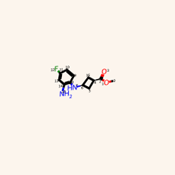 COC(=O)[C@H]1C[C@@H](Nc2ccc(F)cc2N)C1